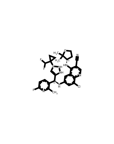 Cc1nc(F)ccc1[C@H](Nc1cc(Cl)c2ncc(C#N)c(N[C@H]3CCOC3(C)C)c2c1)C1=CN(C2(C(F)F)CC2)NN1